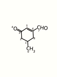 CC1CC(=O)C=C(C=O)C1